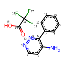 Nc1ccnnc1-c1ccccc1.O=C(O)C(F)(F)F